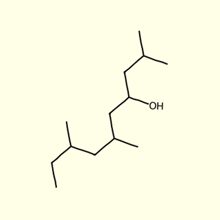 CCC(C)CC(C)CC(O)CC(C)C